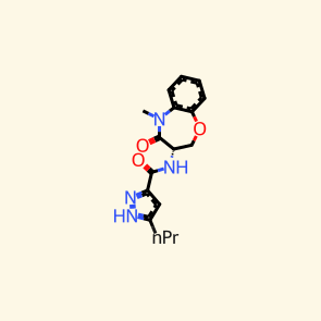 CCCc1cc(C(=O)N[C@H]2COc3ccccc3N(C)C2=O)n[nH]1